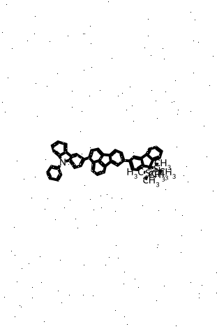 C[Si](C)(C)C1([Si](C)(C)C)c2ccccc2-c2cc(-c3ccc4c(c3)-c3cccc5c(-c6ccc7c(c6)c6ccccc6n7-c6ccccc6)ccc-4c35)ccc21